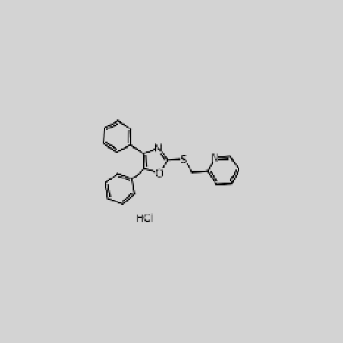 Cl.c1ccc(-c2nc(SCc3ccccn3)oc2-c2ccccc2)cc1